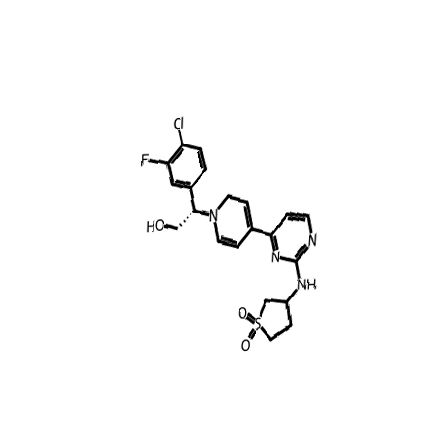 O=S1(=O)CCC(Nc2nccc(C3=CCN([C@H](CO)c4ccc(Cl)c(F)c4)C=C3)n2)C1